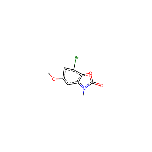 COc1cc(Br)c2oc(=O)n(C)c2c1